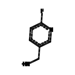 [NH]Cc1ccc(F)nc1